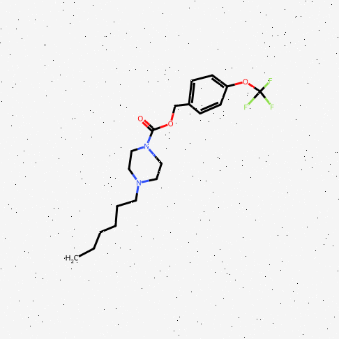 [CH2]CCCCCN1CCN(C(=O)OCc2ccc(OC(F)(F)F)cc2)CC1